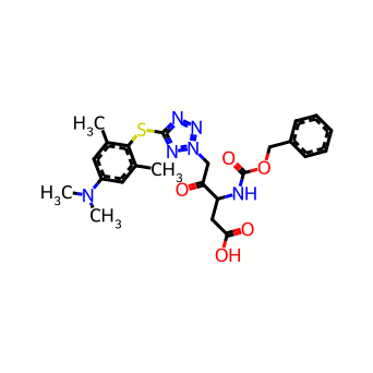 Cc1cc(N(C)C)cc(C)c1Sc1nnn(CC(=O)C(CC(=O)O)NC(=O)OCc2ccccc2)n1